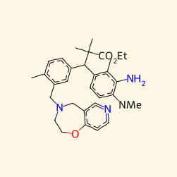 CCOC(=O)C(C)(C)C(c1ccc(C)c(CN2CCOc3ccncc3C2)c1)c1ccc(NC)c(N)c1C